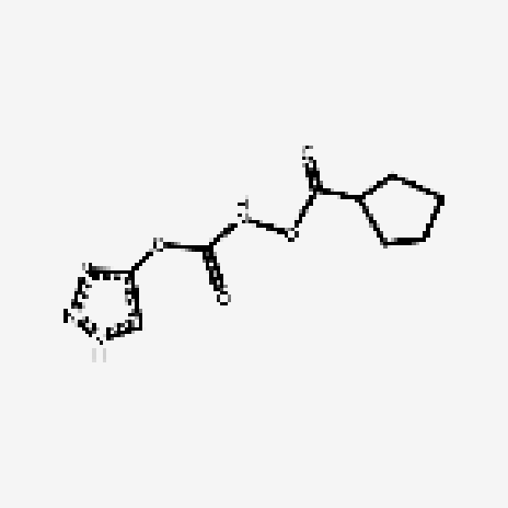 O=C(NOC(=O)C1CCCC1)Oc1c[nH]nn1